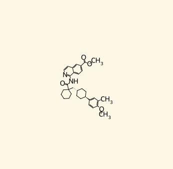 COC(=O)c1ccc2c(NC(=O)C3(C[C@H]4CC[C@H](c5ccc(OC)c(C)c5)CC4)CCCCC3)nccc2c1